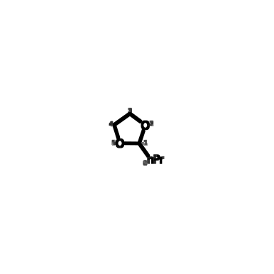 CCC[C]1OCCO1